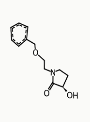 O=C1[C@H](O)CCN1CCOCc1ccccc1